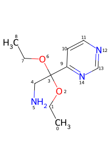 CCOC(CN)(OCC)c1ccncn1